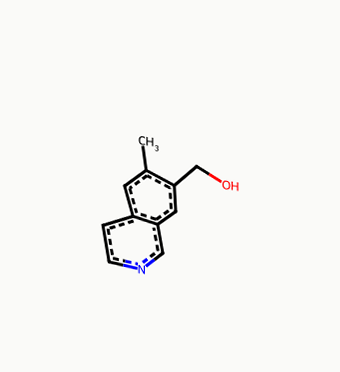 Cc1cc2ccncc2cc1CO